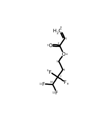 C=CC(=O)OCCC(F)(F)C(F)F